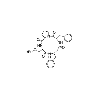 CC(C)(C)OCC1NC(=O)C2CCCN2C(=O)C(Cc2ccccc2)NC(=O)CC(Cc2ccccc2)NC1=O